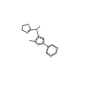 Cc1nn(-c2cncnc2)cc1N(C)C1=NCCS1